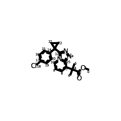 COC(=O)C(C)(C)c1cccn2c(C3(c4ccc(Cl)cc4)CC3)nnc12